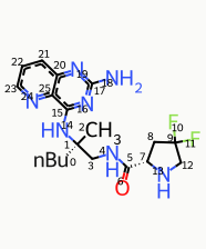 CCCC[C@](C)(CNC(=O)[C@@H]1CC(F)(F)CN1)Nc1nc(N)nc2cccnc12